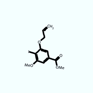 C=CCOc1cc(C(=O)OC)cc(OC)c1I